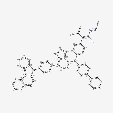 C=C(F)/C(=C(F)\C=C\F)c1ccc(N(c2ccc(-c3ccccc3)cc2)c2ccc(-c3ccc(-n4c5ccccc5c5c6ccccc6ccc54)cc3)c3nsnc23)cc1